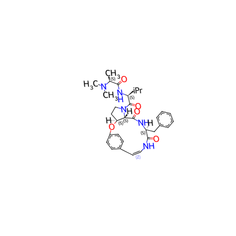 CC(C)[C@H](NC(=O)[C@H](C)N(C)C)C(=O)N1CC[C@@H]2Oc3ccc(cc3)/C=C\NC(=O)[C@H](Cc3ccccc3)NC(=O)[C@H]21